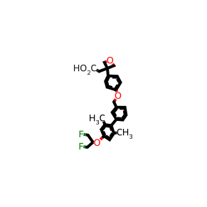 Cc1cc(OC(CF)CF)cc(C)c1-c1cccc(COc2ccc(C3(CC(=O)O)COC3)cc2)c1